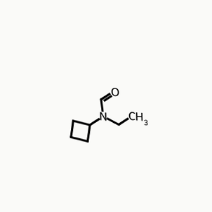 CCN(C=O)C1CCC1